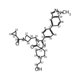 Cn1ncc2cc(-c3ccc(C4=NC5(CCN(CCO)CC5)C(=O)N4CC4CN(C(=O)C5CC5)C4)cc3)ccc21